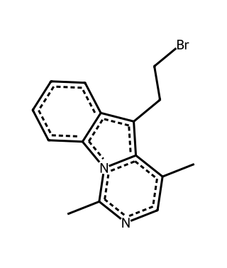 Cc1cnc(C)n2c1c(CCBr)c1ccccc12